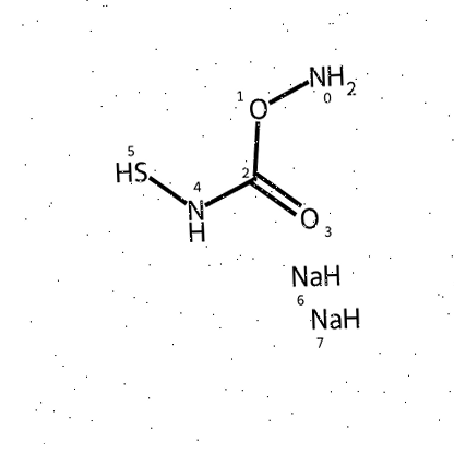 NOC(=O)NS.[NaH].[NaH]